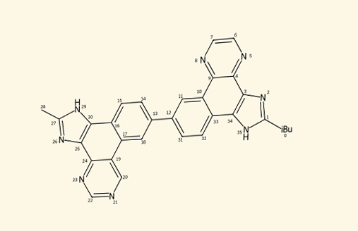 CCC(C)c1nc2c3nccnc3c3cc(-c4ccc5c(c4)c4cncnc4c4nc(C)[nH]c54)ccc3c2[nH]1